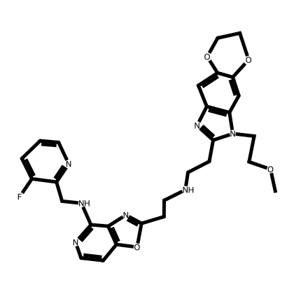 COCCn1c(CCNCCc2nc3c(NCc4ncccc4F)nccc3o2)nc2cc3c(cc21)OCCO3